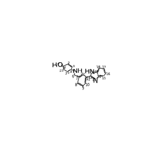 Oc1ccc(NCc2cccc(-c3nc4ccccc4[nH]3)c2)cc1